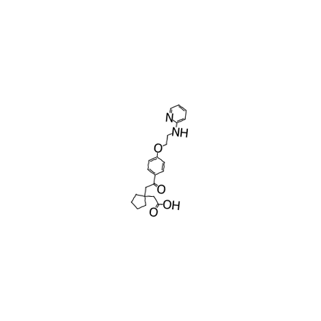 O=C(O)CC1(CC(=O)c2ccc(OCCNc3ccccn3)cc2)CCCC1